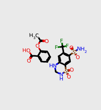 CC(=O)Oc1ccccc1C(=O)O.NS(=O)(=O)c1cc2c(cc1C(F)(F)F)NCNS2(=O)=O